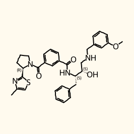 COc1cccc(CNC[C@H](O)[C@H](Cc2ccccc2)NC(=O)c2cccc(C(=O)N3CCC[C@@H]3c3nc(C)cs3)c2)c1